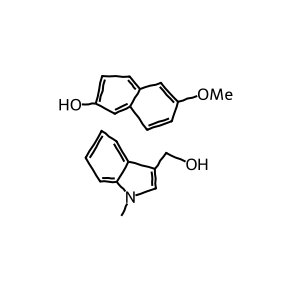 COc1ccc2cc(O)ccc2c1.Cn1cc(CO)c2ccccc21